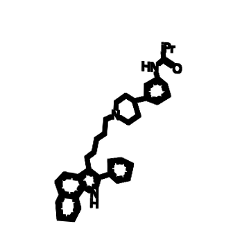 CC(C)C(=O)Nc1cccc(C2CCN(CCCCCc3c(-c4ccccc4)[nH]c4c3ccc3ccccc34)CC2)c1